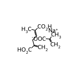 C=C(C)C(=O)[O-].C=C(CC=C(C)C(=O)O)C(=O)O.[Na+]